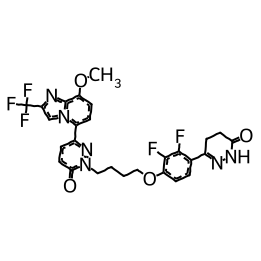 COc1ccc(-c2ccc(=O)n(CCCCOc3ccc(C4=NNC(=O)CC4)c(F)c3F)n2)n2cc(C(F)(F)F)nc12